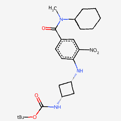 CN(C(=O)c1ccc(N[C@H]2C[C@@H](NC(=O)OC(C)(C)C)C2)c([N+](=O)[O-])c1)C1CCCCC1